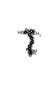 COc1cc(C2COc3cc(O)ccc3[C@H]2c2ccc(N3CCC(CN4CCN(c5ccc6c(c5)CN(C5CCC(=O)NC5O)C6=O)CC4)CC3)cc2)ccc1F